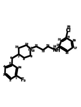 Fc1cccc(CC2CCN(CCCNc3cccc(Cl)c3)CC2)c1